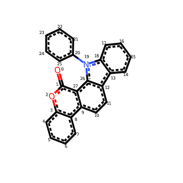 O=c1oc2ccccc2c2ccc3c4ccccc4n(-c4ccccc4)c3c12